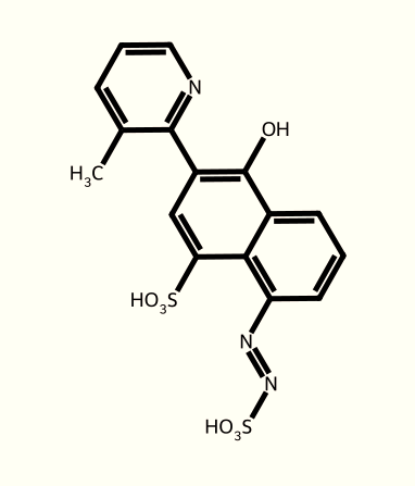 Cc1cccnc1-c1cc(S(=O)(=O)O)c2c(N=NS(=O)(=O)O)cccc2c1O